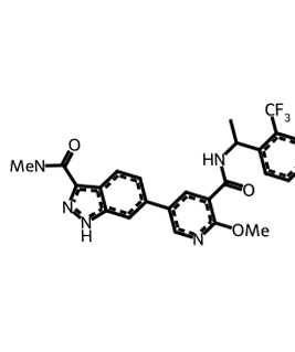 CNC(=O)c1n[nH]c2cc(-c3cnc(OC)c(C(=O)NC(C)c4ccccc4C(F)(F)F)c3)ccc12